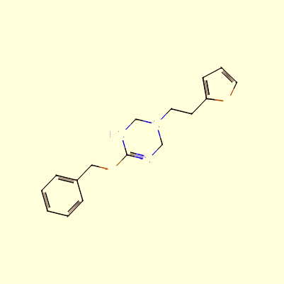 c1ccc(CSC2=NCN(CCc3cccs3)CN2)cc1